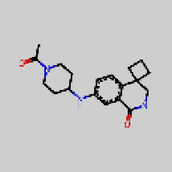 CC(=O)N1CCC(Nc2ccc3c(c2)C(=O)NCC32CCC2)CC1